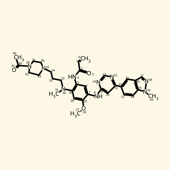 C=CC(=O)Nc1cc(Nc2cc(-c3ccc4c(cnn4C)c3)ncn2)c(OC)cc1N(C)CCCN1CCN(C(C)=O)CC1